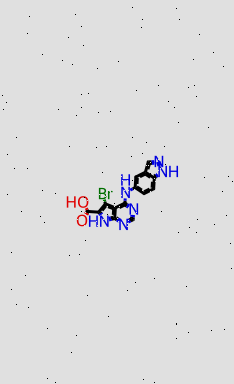 O=C(O)c1[nH]c2ncnc(Nc3ccc4[nH]ncc4c3)c2c1Br